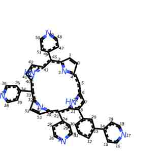 C1=Cc2nc1cc1cc(-c3cccc(-c4ccncc4)c3)c([nH]1)c(-c1ccncc1)c1nc(c(-c3ccncc3)c3ccc([nH]3)c2-c2ccncc2)C=C1